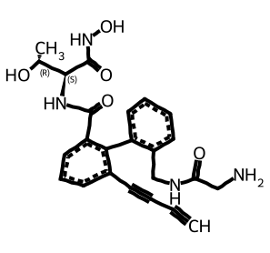 C#CC#Cc1cccc(C(=O)N[C@H](C(=O)NO)[C@@H](C)O)c1-c1ccccc1CNC(=O)CN